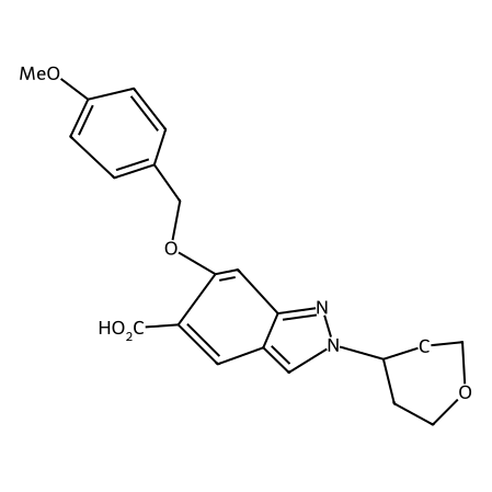 COc1ccc(COc2cc3nn(C4CCOCC4)cc3cc2C(=O)O)cc1